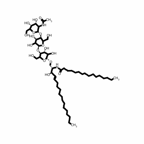 CCCCCCCCCCCCC/C=C/[C@@H](O)[C@H](CO[C@@H]1OC(CO)[C@@H](O[C@@H]2OC(CO)[C@H](O[C@@H]3OC(CO)[C@H](O)[C@H](O)C3NC(C)=O)[C@H](O)C2O)[C@H](O)C1O)NC(=O)CCCCCCCCCCCCCCC